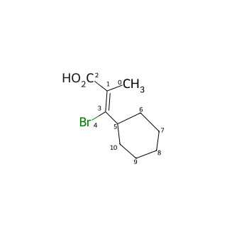 CC(C(=O)O)=C(Br)C1CCCCC1